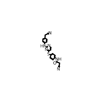 N#CCC(=O)Nc1ccc(Sc2ccnc(Nc3ccc(CC#N)cc3)n2)cc1